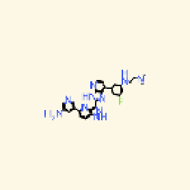 CN(C)CCNc1cc(F)cc(-c2ccnc3[nH]c(-c4n[nH]c5ccc(-c6cncc(N)c6)nc45)nc23)c1